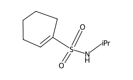 CC(C)NS(=O)(=O)C1=CCCCC1